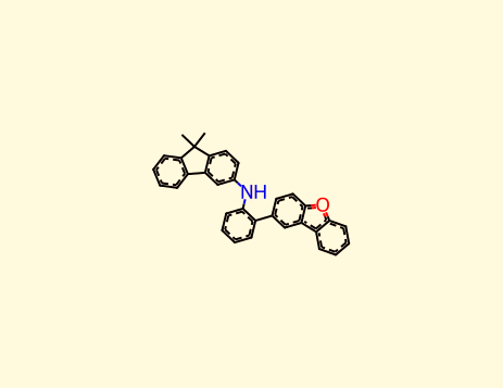 CC1(C)c2ccccc2-c2cc(Nc3ccccc3-c3ccc4oc5ccccc5c4c3)ccc21